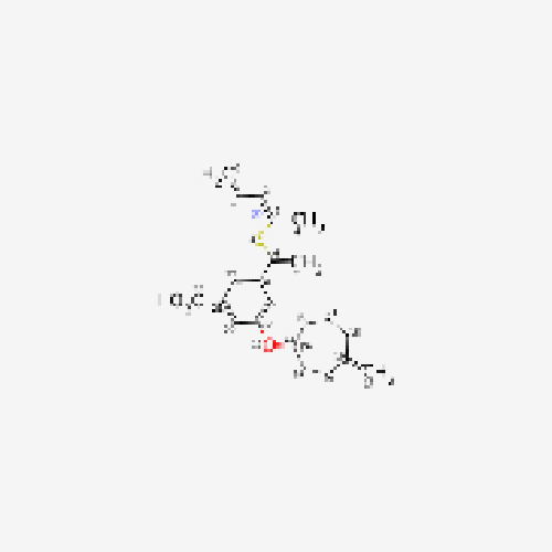 C=C/C=C(/C)SC(=C)c1cc(O[C@H]2CCCC(=C)CC2)cc(C(=O)O)c1